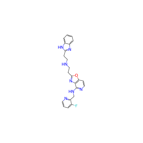 Fc1cccnc1CNc1nccc2oc(CCNCCc3nc4ccccc4[nH]3)nc12